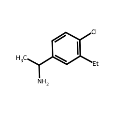 CCc1cc(C(C)N)ccc1Cl